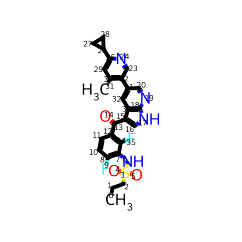 CCCS(=O)(=O)Nc1c(F)ccc(C(=O)c2c[nH]c3ncc(-c4cnc(C5CC5)cc4C)cc23)c1F